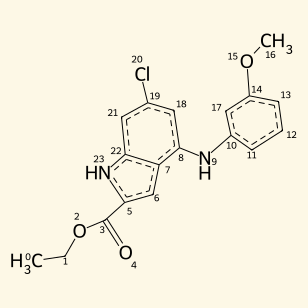 CCOC(=O)c1cc2c(Nc3cccc(OC)c3)cc(Cl)cc2[nH]1